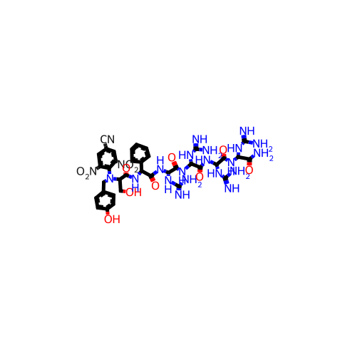 N#Cc1cc([N+](=O)[O-])c(N(Cc2ccc(O)cc2)C(CO)C(=O)NC(C(=O)NC(NC(=N)N)C(=O)NC(NC(=N)N)C(=O)NC(NC(=N)N)C(=O)NC(NC(=N)N)C(N)=O)c2ccccc2)c([N+](=O)[O-])c1